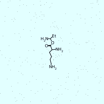 CCC(N)OC(=O)C(N)CCCCN